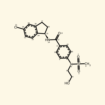 CS(=O)(=O)N(CCO)c1ccc(C(=O)N[C@@H]2CCc3cc(Cl)ccc32)cc1